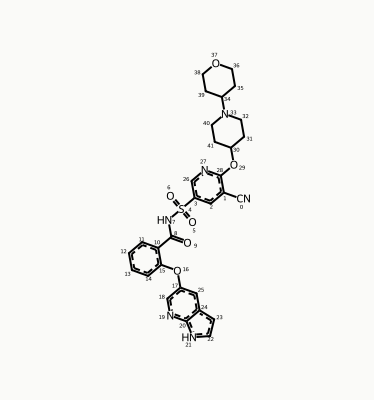 N#Cc1cc(S(=O)(=O)NC(=O)c2ccccc2Oc2cnc3[nH]ccc3c2)cnc1OC1CCN(C2CCOCC2)CC1